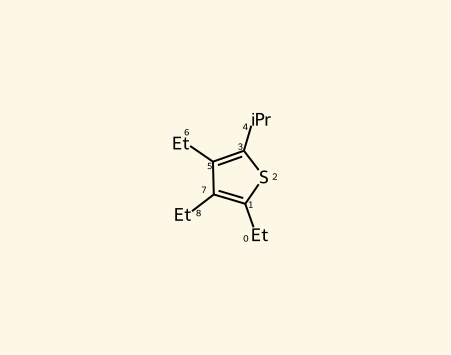 CCc1sc(C(C)C)c(CC)c1CC